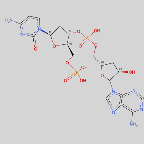 Nc1ccn([C@H]2C[C@H](OP(=O)(O)OC[C@@H]3C[C@@H](O)C(n4cnc5c(N)ncnc54)O3)[C@@H](COP(=O)(O)O)O2)c(=O)n1